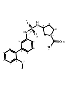 COc1ccccc1-c1cccc(NS(=O)(=O)NC2CCN(C(=O)O)C2)c1